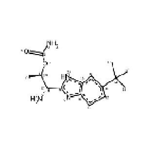 C[C@@H](OC(N)=O)[C@@H](N)c1nc2ccc(C(C)(C)C)cc2[nH]1